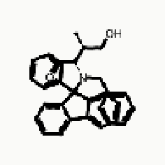 C[C@@H](CO)[C@@H](C=O)N(Cc1ccccc1)C1(c2ccccc2)c2ccccc2-c2ccccc21